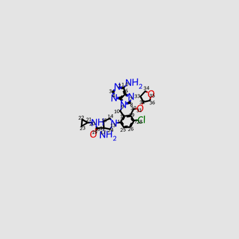 Nc1ncnc2c1ncn2Cc1c(N2CC[C@](N)(C(=O)NC3CC3)C2)ccc(Cl)c1COC1CCOC1